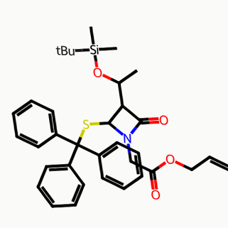 C=CCOC(=O)CN1C(=O)C(C(C)O[Si](C)(C)C(C)(C)C)C1SC(c1ccccc1)(c1ccccc1)c1ccccc1